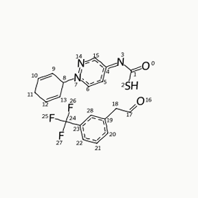 O=C(S)N=c1ccn(C2C=CCC=C2)nc1.O=CCc1cccc(C(F)(F)F)c1